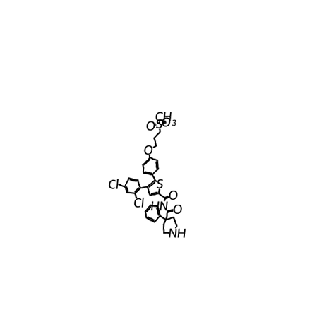 CS(=O)(=O)CCCOc1ccc(-c2sc(C(=O)NC(=O)C3(c4ccccc4)CCNCC3)cc2-c2ccc(Cl)cc2Cl)cc1